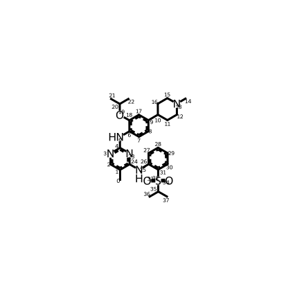 Cc1cnc(Nc2ccc(C3CCN(C)CC3)cc2OC(C)C)nc1Nc1ccccc1S(=O)(=O)C(C)C